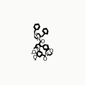 COc1cc(C(=O)N2CCOCC2)cc(-n2c(C)cc(C(=O)N3CCN(Cc4ccccc4)C[C@H]3Cc3ccccc3)c2-c2ccccc2)c1OC